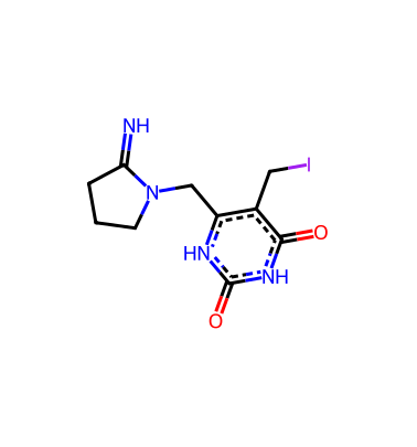 N=C1CCCN1Cc1[nH]c(=O)[nH]c(=O)c1CI